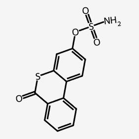 NS(=O)(=O)Oc1ccc2c(c1)sc(=O)c1ccccc12